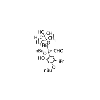 CCCCOc1cc(O)c(C2(OCCCC)C(BOC(C)(C)C(C)(C)O)[C@@H]2C=O)cc1C(C)C